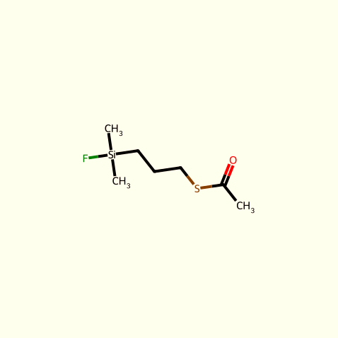 CC(=O)SCCC[Si](C)(C)F